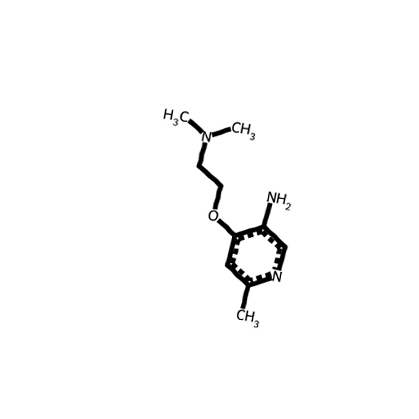 Cc1cc(OCCN(C)C)c(N)cn1